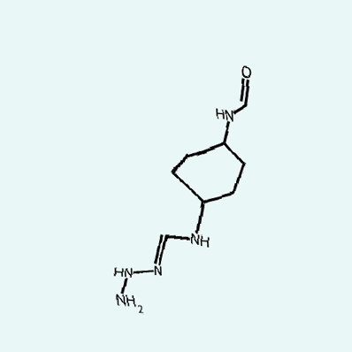 NN/N=C/NC1CCC(NC=O)CC1